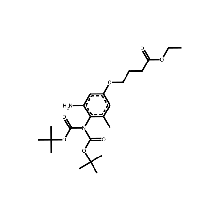 CCOC(=O)CCCOc1cc(C)c(N(C(=O)OC(C)(C)C)C(=O)OC(C)(C)C)c(N)c1